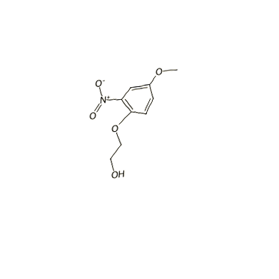 COc1ccc(OCCO)c([N+](=O)[O-])c1